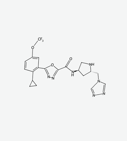 O=C(N[C@H]1CN[C@H](Cn2cnnc2)C1)c1nnc(-c2cc(OC(F)(F)F)ccc2C2CC2)o1